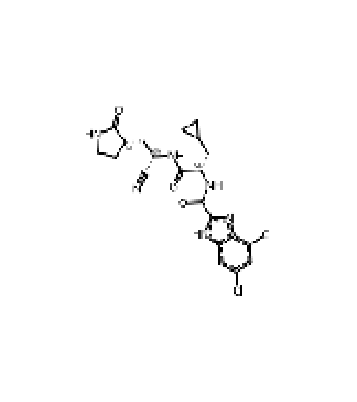 N#C[C@H](C[C@@H]1CCNC1=O)NC(=O)[C@H](CC1CC1)NC(=O)c1nc2c(Cl)cc(Cl)cc2[nH]1